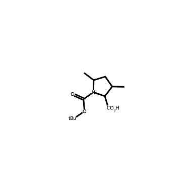 CC1CC(C)N(C(=O)OC(C)(C)C)C1C(=O)O